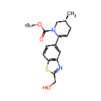 C[C@H]1CC=C(c2ccc3sc(CO)nc3c2)N(C(=O)OC(C)(C)C)C1